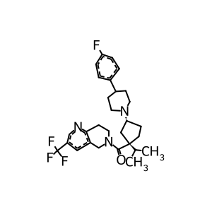 CC(C)[C@]1(C(=O)N2CCc3ncc(C(F)(F)F)cc3C2)CC[C@@H](N2CCC(c3ccc(F)cc3)CC2)C1